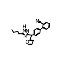 CCCCc1nc(C(c2ccc(-c3ccccc3C#N)cc2)c2ccco2)n[nH]1